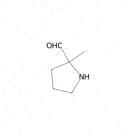 CC1(C=O)CCCN1